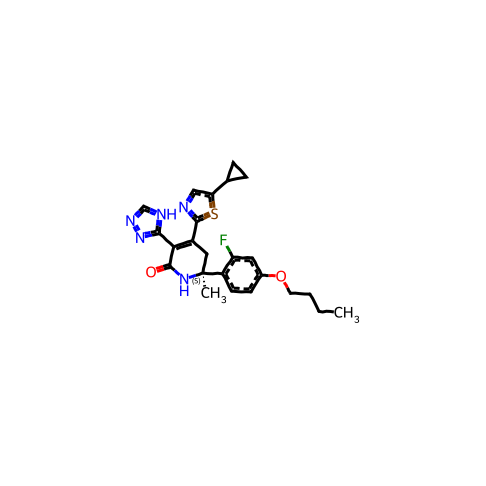 CCCCOc1ccc([C@]2(C)CC(c3ncc(C4CC4)s3)=C(c3nnc[nH]3)C(=O)N2)c(F)c1